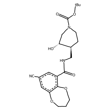 CC(C)(C)OC(=O)N1CC[C@@H](CNC(=O)c2cc(C#N)cc3c2OCCCO3)[C@H](O)C1